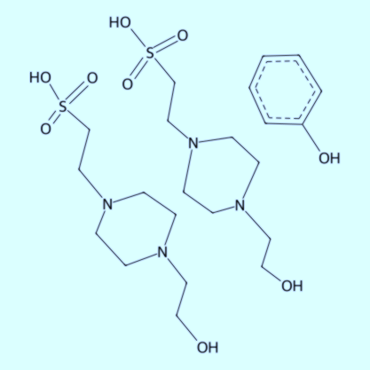 O=S(=O)(O)CCN1CCN(CCO)CC1.O=S(=O)(O)CCN1CCN(CCO)CC1.Oc1ccccc1